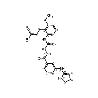 CCc1ccnc(NC(=O)CNC(=O)c2cccc(NC3=NCCN3)c2)c1CCC(=O)O